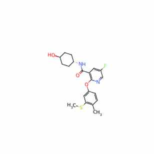 CSc1cc(Oc2ncc(F)cc2C(=O)N[C@H]2CC[C@H](O)CC2)ccc1C